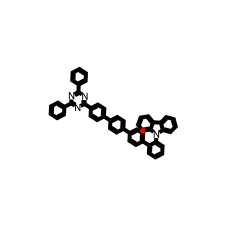 c1ccc(-c2nc(-c3ccccc3)nc(-c3ccc(-c4ccc(-c5ccc(-c6ccccc6-n6c7ccccc7c7ccccc76)cc5)cc4)cc3)n2)cc1